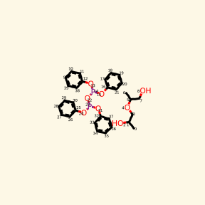 CC(O)COC(C)CO.c1ccc(OP(Oc2ccccc2)OP(Oc2ccccc2)Oc2ccccc2)cc1